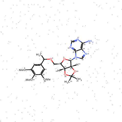 COc1cc(C(C)OC[C@H]2O[C@@H](n3cnc4c(N)ncnc43)[C@@H]3OC(C)(C)O[C@@H]32)cc(OC)c1OC